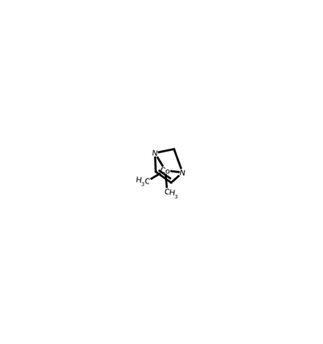 [CH3][Co]1([CH3])[N]2C=C[N]1C2